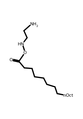 CCCCCCCCCCCCCCCC(=O)ONCCN